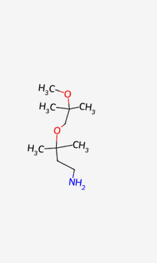 COC(C)(C)COC(C)(C)CCN